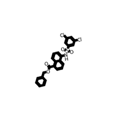 O=C(OCc1ccccc1)c1cccc2c(NS(=O)(=O)c3cc(Cl)cc(Cl)c3)cccc12